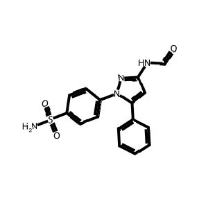 NS(=O)(=O)c1ccc(-n2nc(NC=O)cc2-c2ccccc2)cc1